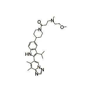 COCCN(C)CCC(=O)N1CCC(c2ccc3[nH]c(-c4cn5ncnc5c(C)c4C)c(C(C)C)c3c2)CC1